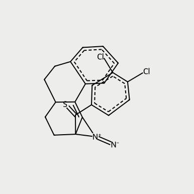 [N-]=[N+]1C2=C3c4ccccc4CCC3CCC21C(=S)c1ccc(Cl)c(Cl)c1